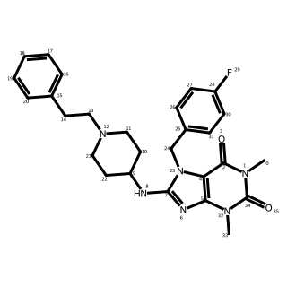 Cn1c(=O)c2c(nc(NC3CCN(CCc4ccccc4)CC3)n2Cc2ccc(F)cc2)n(C)c1=O